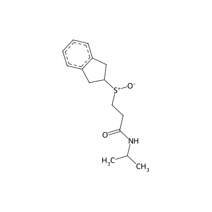 CC(C)NC(=O)CC[S+]([O-])C1Cc2ccccc2C1